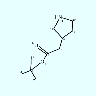 CC(C)(C)OC(=O)[CH]C1CCNC1